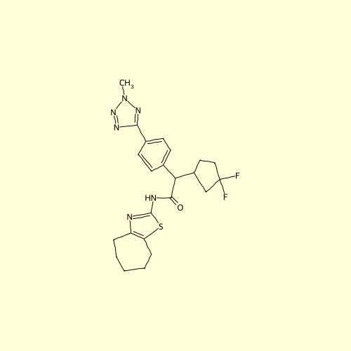 Cn1nnc(-c2ccc(C(C(=O)Nc3nc4c(s3)CCCCC4)C3CCC(F)(F)C3)cc2)n1